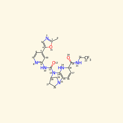 Cc1ncc(-c2ccnc(NC(=O)N3C4=C(C=CC(C(=O)NCC(F)(F)F)N4)N4CCC3C4)c2)o1